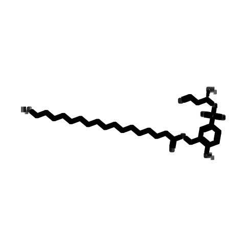 CCCCCCCCCCCCCCCCCC(=O)OCc1cc(S(=O)(=O)O[C@@H](C)CC=O)ccc1C